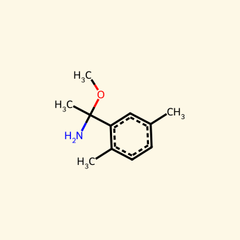 COC(C)(N)c1cc(C)ccc1C